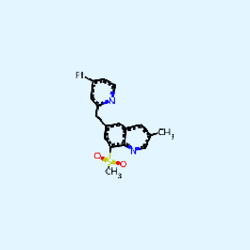 CCc1ccnc(Cc2cc(S(C)(=O)=O)c3ncc(C)cc3c2)c1